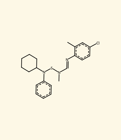 Cc1cc(Cl)ccc1/N=C/N(C)SN(c1ccccc1)C1CCCCC1